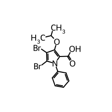 CC(C)Oc1c(Br)c(Br)n(-c2ccccc2)c1C(=O)O